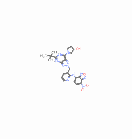 CC(C)(C)c1nc(N2CC[C@H](O)C2)c2nn(Cc3cccnc3Nc3ccc([N+](=O)[O-])c4nonc34)nc2n1